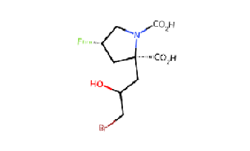 O=C(O)N1C[C@@H](F)C[C@@]1(CC(O)CBr)C(=O)O